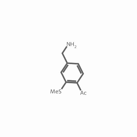 CSc1cc(CN)ccc1C(C)=O